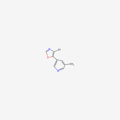 CCc1ncoc1-c1cncc(C)c1